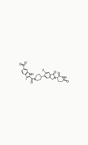 Cc1c(C(=O)N2CCC(c3cc4c(cc3F)C(=O)N(C3CCC(=O)NC3=O)C4)CC2)[nH]c2cc([N+](=O)[O-])ccc12